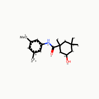 COc1cc(NC(=O)C2(C)CC(O)CC(C)(C)C2)cc(C(F)(F)F)c1